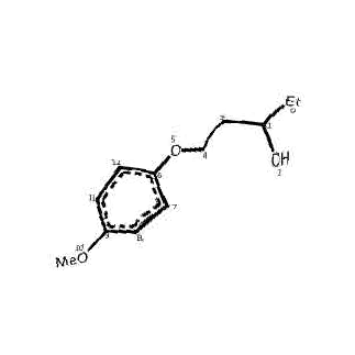 CCC(O)CCOc1ccc(OC)cc1